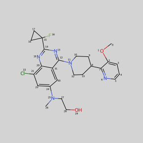 COc1cccnc1C1CCN(c2nc(C3(F)CC3)nc3c(Cl)cc(N(C)CCO)cc23)CC1